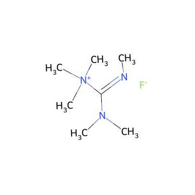 CN=C(N(C)C)[N+](C)(C)C.[F-]